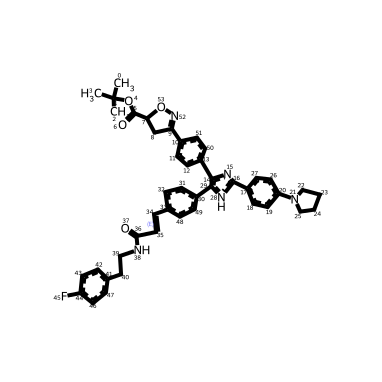 CC(C)(C)OC(=O)C1CC(c2ccc(-c3nc(-c4ccc(N5CCCC5)cc4)[nH]c3-c3ccc(/C=C/C(=O)NCCc4ccc(F)cc4)cc3)cc2)=NO1